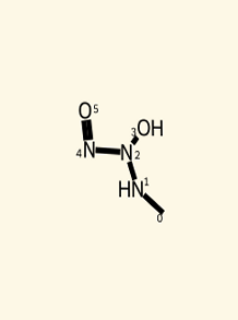 CNN(O)N=O